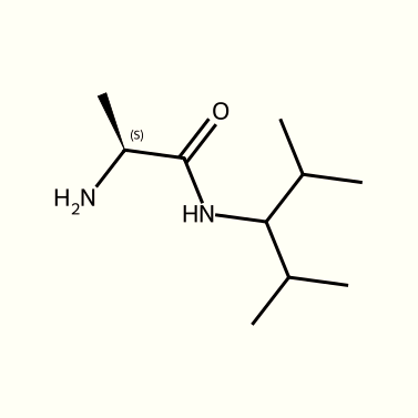 CC(C)C(NC(=O)[C@H](C)N)C(C)C